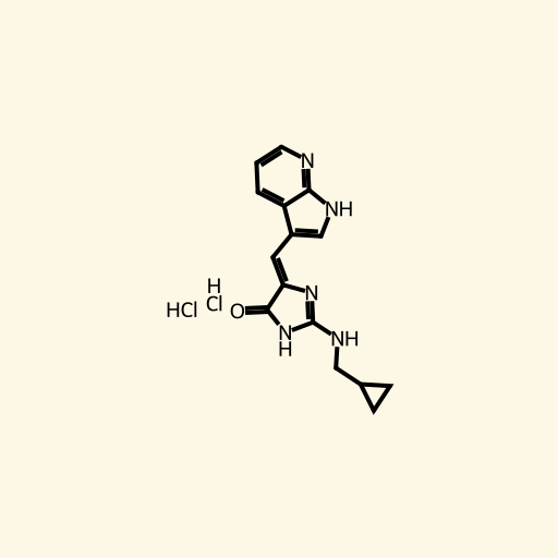 Cl.Cl.O=C1NC(NCC2CC2)=N/C1=C\c1c[nH]c2ncccc12